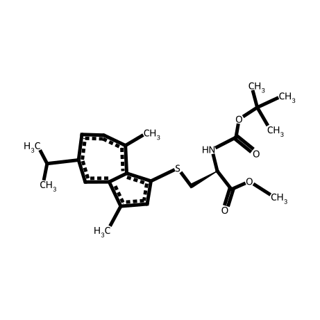 COC(=O)[C@@H](CSc1cc(C)c2cc(C(C)C)ccc(C)c1-2)NC(=O)OC(C)(C)C